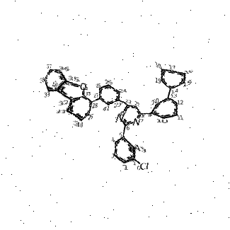 Clc1cccc(-c2nc(-c3cccc(-c4ccccc4)c3)cc(-c3cccc(-c4cccc5c4oc4ccccc45)c3)n2)c1